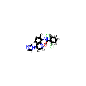 Cc1ccc2c(-n3ccnc3)ccnc2c1NC(=O)c1c(Cl)cccc1Cl